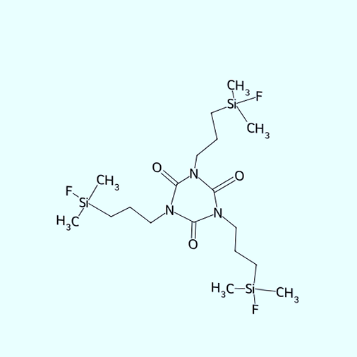 C[Si](C)(F)CCCn1c(=O)n(CCC[Si](C)(C)F)c(=O)n(CCC[Si](C)(C)F)c1=O